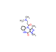 Cc1nn(C)c2c1N(C(=O)CCN(C)C)c1ccccc1NC2=O